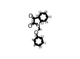 O=C1C(=O)N(COc2ccccc2)c2ccccc21